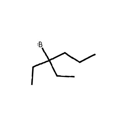 [B]C(CC)(CC)CCC